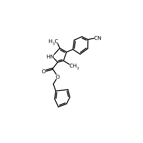 Cc1[nH]c(C(=O)OCc2ccccc2)c(C)c1-c1ccc(C#N)cc1